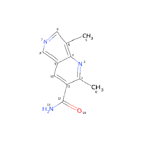 Cc1nc2c(C)cncc2cc1C(N)=O